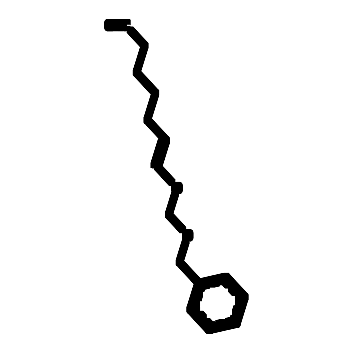 O=CCCCCC=COCOCc1ccccc1